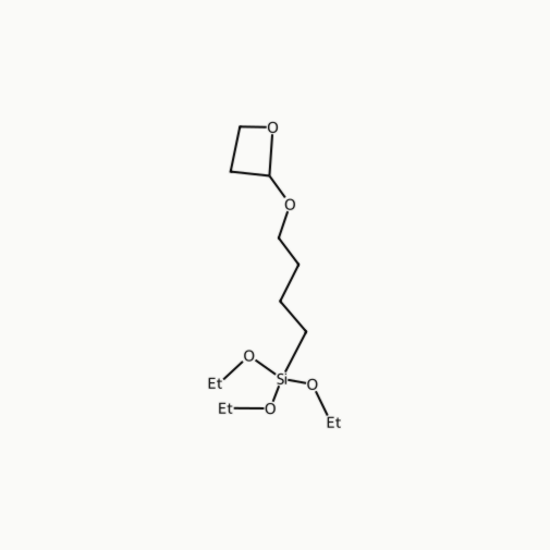 CCO[Si](CCCCOC1CCO1)(OCC)OCC